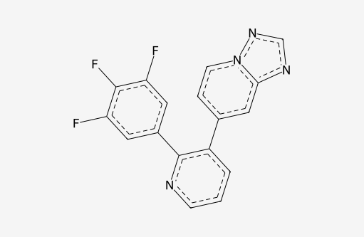 Fc1cc(-c2ncccc2-c2ccn3ncnc3c2)cc(F)c1F